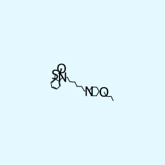 CCCOC1CCN(CCCCCCn2c(=O)sc3ccccc32)CC1